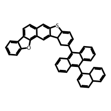 C1=CC2C=CC=C(c3c4ccccc4c(C4=CC=C5Sc6cc7ccc8c9ccccc9oc8c7cc6C5C4)c4ccccc34)C2C=C1